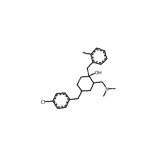 Cc1ccccc1CC1(O)CCC(Cc2ccc(Cl)cc2)CC1CN(C)C